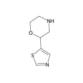 c1ncc(C2CNCCO2)s1